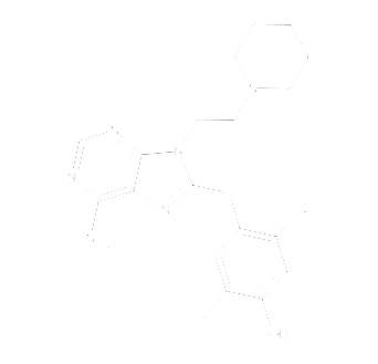 Nc1ncnc2c1nc(Sc1cc(O)c(O)cc1Br)n2CCN1CCCCC1